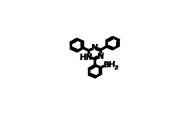 Bc1ccccc1C1=NC(c2ccccc2)=NC(c2ccccc2)N1